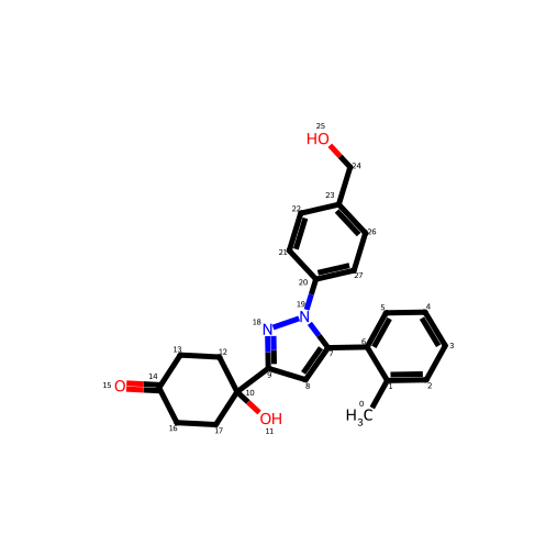 Cc1ccccc1-c1cc(C2(O)CCC(=O)CC2)nn1-c1ccc(CO)cc1